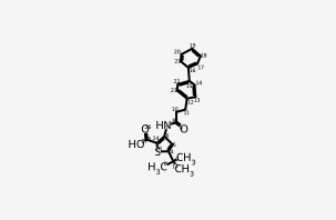 CC(C)(C)c1cc(NC(=O)CCc2ccc(-c3ccccc3)cc2)c(C(=O)O)s1